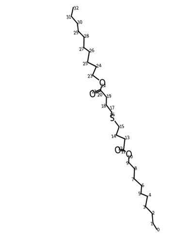 CCCCCCCCCCOC(=O)CCCSCCCC(=O)OCCCCCCCCCC